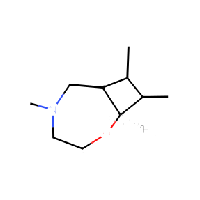 CC1C(C)[C@H]2OCCN(C)CC12